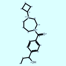 CCC(O)c1ccc(C(=O)N2CCCN(C3CCC3)CC2)cc1